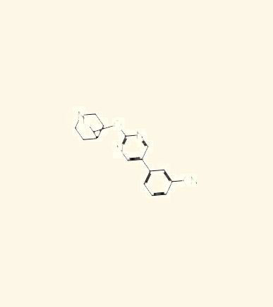 N#Cc1cccc(-c2cnc(OC3CN4CCC3CC4)nc2)c1